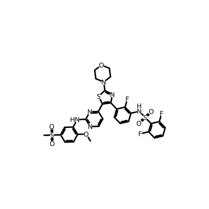 COc1ccc(S(C)(=O)=O)cc1Nc1nccc(-c2sc(N3CCOCC3)nc2-c2cccc(NS(=O)(=O)c3c(F)cccc3F)c2F)n1